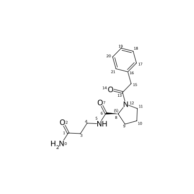 NC(=O)CCNC(=O)[C@@H]1CCCN1C(=O)Cc1ccccc1